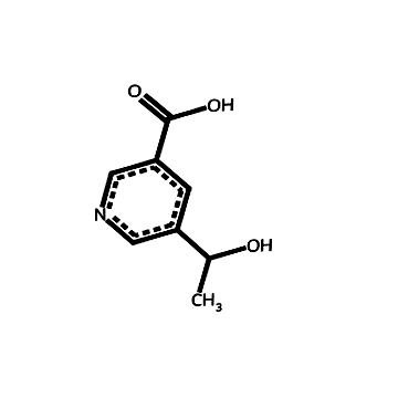 CC(O)c1cncc(C(=O)O)c1